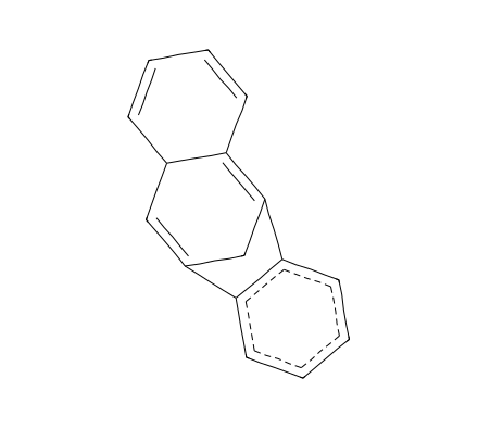 C1=CC2=C3CC(=CC2C=C1)c1ccccc13